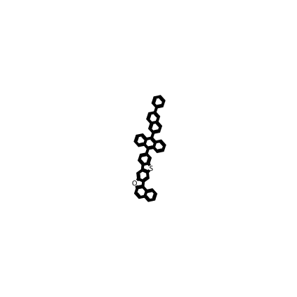 c1ccc(-c2ccc3cc(-c4c5ccccc5c(-c5ccc6c(c5)sc5cc7c(cc56)oc5ccc6ccccc6c57)c5ccccc45)ccc3c2)cc1